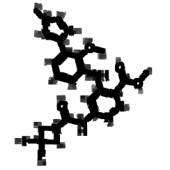 COC(=O)c1nnc(NC(=O)N2CC(F)(F)C2)cc1Nc1cccc(-c2ncn(C)n2)c1OC